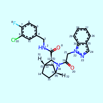 O=C(NCc1ccc(F)c(Cl)c1)[C@@H]1[C@H]2CC[C@H](C2)N1C(=O)Cn1ncc2ccccc21